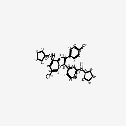 Fc1ccc(-c2nc3c(NC4CCCC4)cc(Cl)cn3c2-c2ccnc(NC3CCCC3)n2)cc1